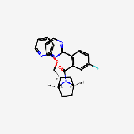 O=C(c1cc(F)ccc1-c1ncccn1)N1[C@@H]2CC[C@H]1[C@H](COc1ccccn1)C2